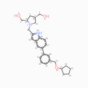 OC[C@@H]1C[C@H](CO)N(Cc2cc3cc(-c4cccc(COC5CCCC5)c4)ccc3[nH]2)C1